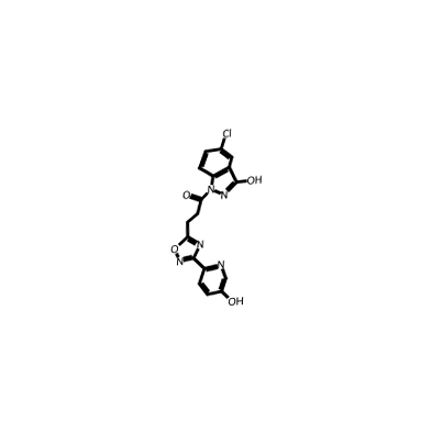 O=C(CCc1nc(-c2ccc(O)cn2)no1)n1nc(O)c2cc(Cl)ccc21